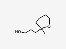 C[Si]1(CCCO)CCCCO1